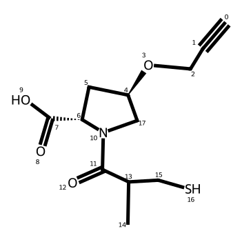 C#CCO[C@@H]1C[C@@H](C(=O)O)N(C(=O)C(C)CS)C1